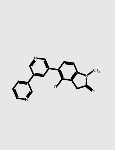 CN1C(=O)Cc2c1ccc(-c1cncc(-c3cccnc3)c1)c2Cl